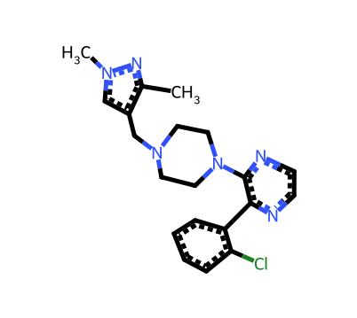 Cc1nn(C)cc1CN1CCN(c2nccnc2-c2ccccc2Cl)CC1